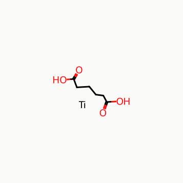 O=C(O)CCCCC(=O)O.[Ti]